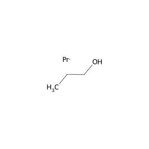 CCCO.[Pr]